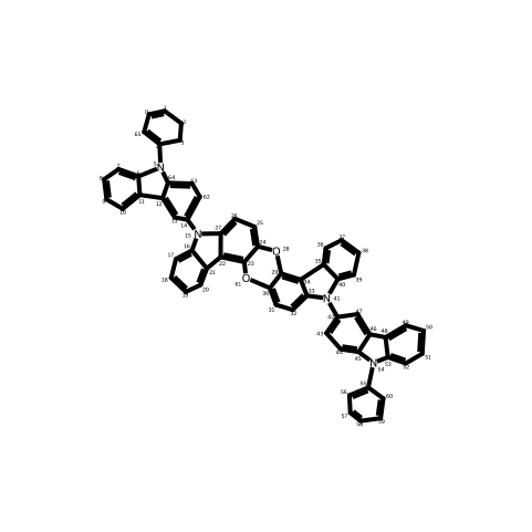 C1=CCCC(n2c3ccccc3c3cc(-n4c5ccccc5c5c6c(ccc54)Oc4c(ccc5c4c4ccccc4n5-c4ccc5c(c4)c4ccccc4n5-c4ccccc4)O6)ccc32)=C1